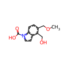 COCc1ccc2c(ccn2C(=O)O)c1CO